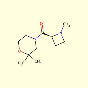 CN1CC[C@H]1C(=O)N1CCOC(C)(C)C1